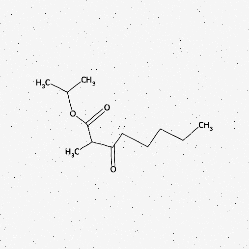 CCCCCC(=O)C(C)C(=O)OC(C)C